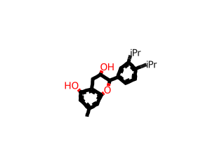 Cc1cc(O)c2c(c1)OC(c1ccc(C(C)C)c(C(C)C)c1)C(O)C2